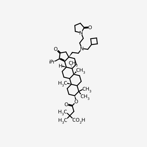 CC(C)C1=C2[C@H]3CCC4[C@@]5(C)CC[C@H](OC(=O)CC(C)(C)C(=O)O)C(C)(C)C5CC[C@@]4(C)[C@]3(C)CC[C@@]2(CCN(CCN2CCCC2=O)CC2CCC2)CC1=O